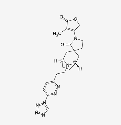 CC1=C(N2CCC3(C[C@@H]4CC[C@@H](C3)N4CCc3ccc(-n4cnnn4)nn3)C2=O)COC1=O